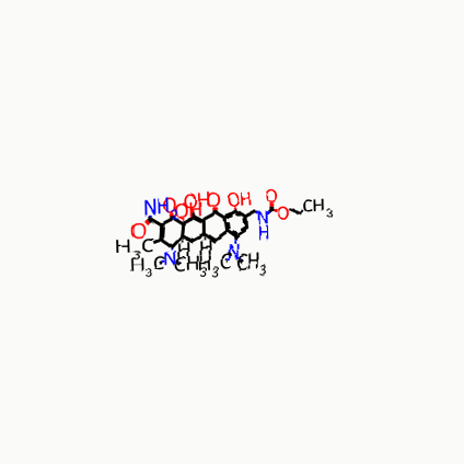 CCCOC(=O)NCc1cc(N(C)C)c2c(c1O)C(=O)C1=C(O)[C@]3(O)C(=O)C(C(N)=O)=C(C)[C@@H](N(C)C)[C@@H]3C[C@@H]1C2